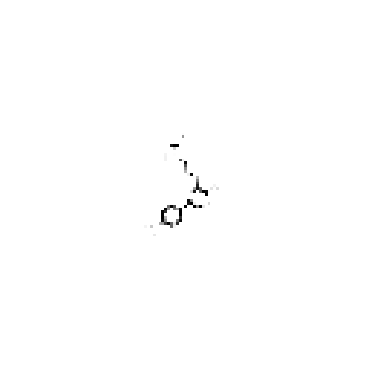 CCN(CC)c1ccc(-c2cnc(N)c(CCCNC(=O)OC(C)(C)C)n2)cc1